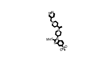 C=C(C1CCN(Cc2ccnnc2)CC1)N1CCC(n2c(SC)nc3cc(S(C)(=O)=O)ccc32)CC1